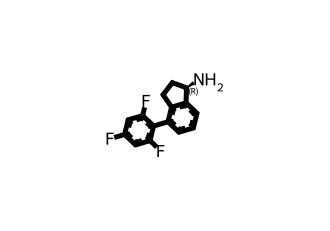 N[C@@H]1CCc2c(-c3c(F)cc(F)cc3F)cccc21